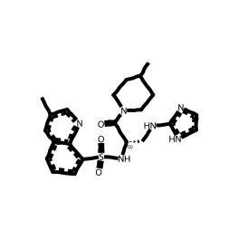 Cc1cnc2c(S(=O)(=O)N[C@@H](CNc3ncc[nH]3)C(=O)N3CCC(C)CC3)cccc2c1